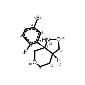 Fc1ccc(Br)cc1[C@]12COCC[C@H]1CON2